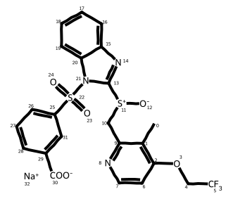 Cc1c(OCC(F)(F)F)ccnc1C[S+]([O-])c1nc2ccccc2n1S(=O)(=O)c1cccc(C(=O)[O-])c1.[Na+]